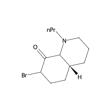 CCCN1CCC[C@@H]2CCC(Br)C(=O)C21